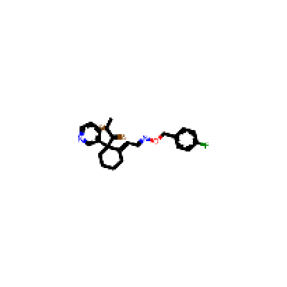 CC(=S)C(=S)C1(c2cccnc2)CCCCC1=CC=NOCc1ccc(F)cc1